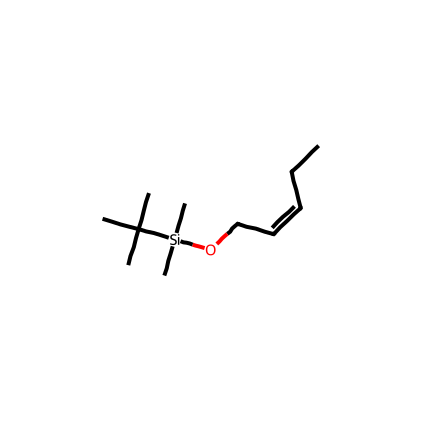 CC/C=C\CO[Si](C)(C)C(C)(C)C